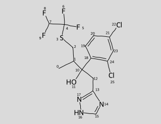 CC(CSC(F)(F)C(F)F)C(O)(Cc1nc[nH]n1)c1ccc(Cl)cc1Cl